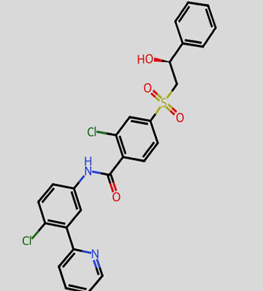 O=C(Nc1ccc(Cl)c(-c2ccccn2)c1)c1ccc(S(=O)(=O)C[C@@H](O)c2ccccc2)cc1Cl